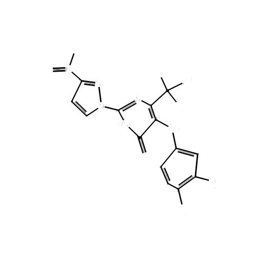 O=c1[nH]c(-n2ccc([N+](=O)[O-])n2)nc(C(F)(F)F)c1Oc1ccc(Cl)c(Cl)c1